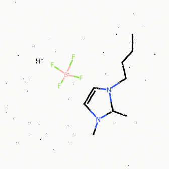 CCCCN1C=CN(C)C1C.F[B-](F)(F)F.[H+]